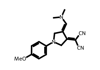 COc1ccc(N2CC(=CN(C)C)C(=C(C#N)C#N)C2)cc1